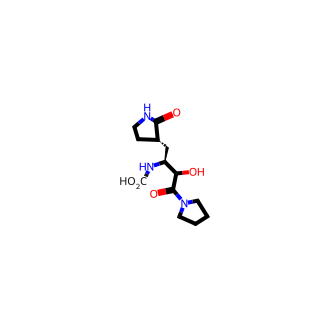 O=C(O)N[C@@H](C[C@@H]1CCNC1=O)C(O)C(=O)N1CCCC1